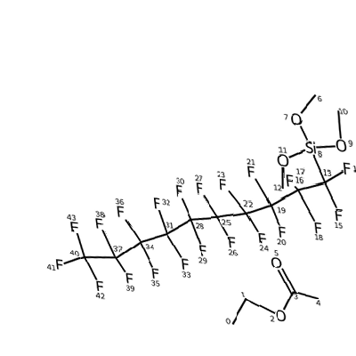 CCOC(C)=O.CO[Si](OC)(OC)C(F)(F)C(F)(F)C(F)(F)C(F)(F)C(F)(F)C(F)(F)C(F)(F)C(F)(F)C(F)(F)C(F)(F)F